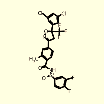 Cc1cc(C2=NOC(c3cc(Cl)cc(Cl)c3)(C(F)(F)F)C2)ccc1C(=O)N[S+]([O-])c1ccc(F)c(F)c1